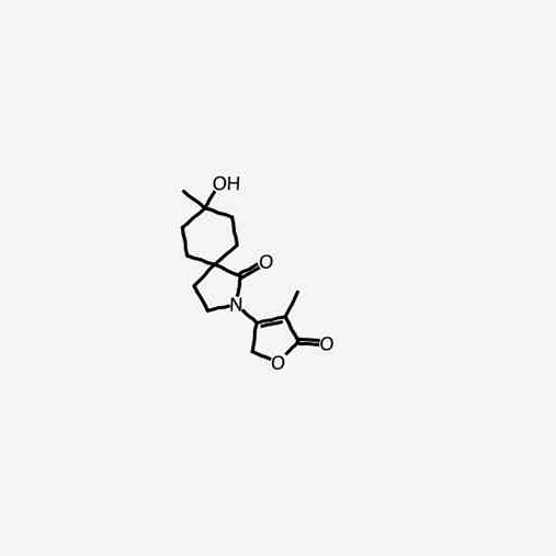 CC1=C(N2CCC3(CCC(C)(O)CC3)C2=O)COC1=O